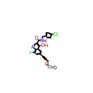 O=COCC#Cc1cc(F)c2ncc(C(=O)NCc3ccc(Cl)cc3)c(O)c2c1